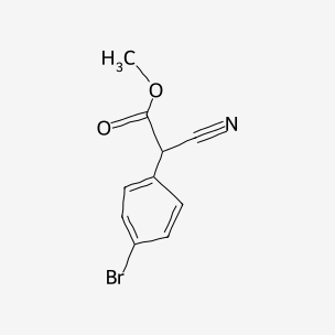 COC(=O)C(C#N)c1ccc(Br)cc1